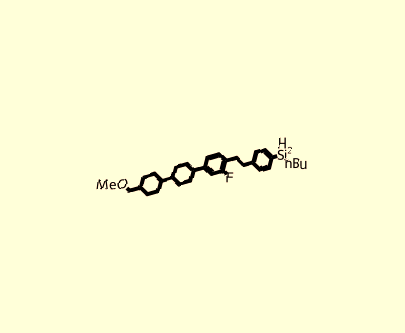 CCCC[SiH2]c1ccc(CCc2ccc(C3CCC(C4CCC(COC)CC4)CC3)cc2F)cc1